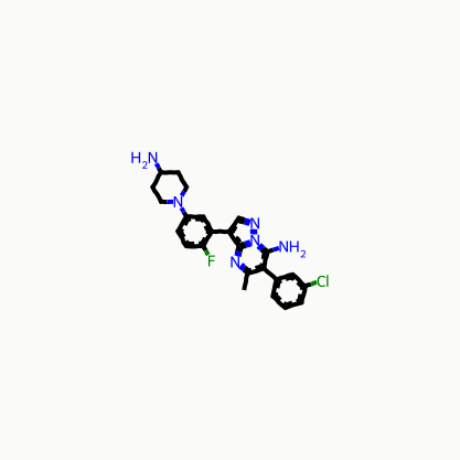 Cc1nc2c(-c3cc(N4CCC(N)CC4)ccc3F)cnn2c(N)c1-c1cccc(Cl)c1